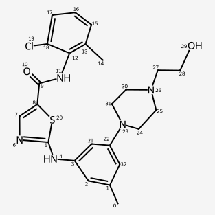 Cc1cc(Nc2ncc(C(=O)Nc3c(C)cccc3Cl)s2)cc(N2CCN(CCO)CC2)c1